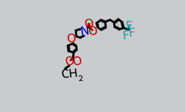 C=CCOC(=O)c1ccc(OC2CCN(C(=O)Oc3ccc(Cc4ccc(C(F)(F)F)cc4)cc3)CC2)cc1